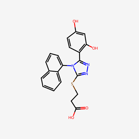 O=C(O)CCSc1nnc(-c2ccc(O)cc2O)n1-c1cccc2ccccc12